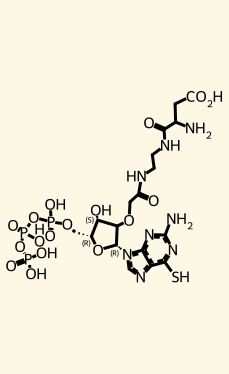 Nc1nc(S)c2ncn([C@@H]3O[C@H](COP(=O)(O)OP(=O)(O)OP(=O)(O)O)[C@H](O)C3OCC(=O)NCCNC(=O)C(N)CC(=O)O)c2n1